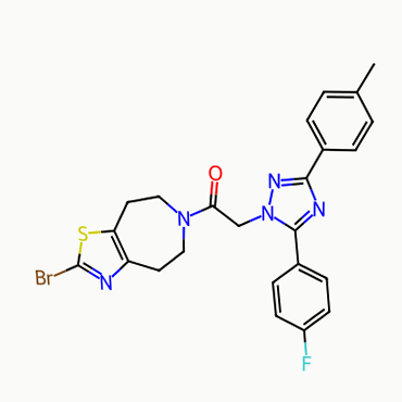 Cc1ccc(-c2nc(-c3ccc(F)cc3)n(CC(=O)N3CCc4nc(Br)sc4CC3)n2)cc1